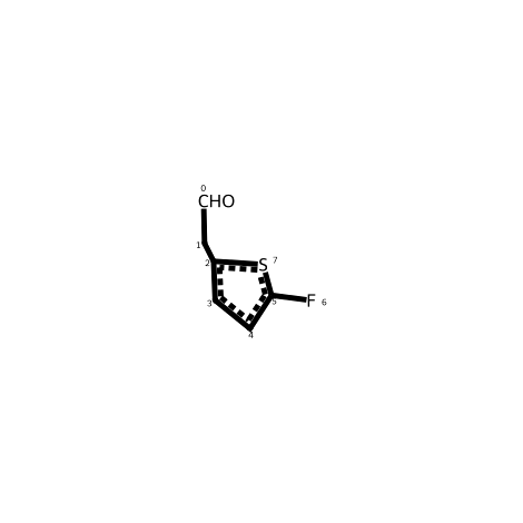 O=CCc1ccc(F)s1